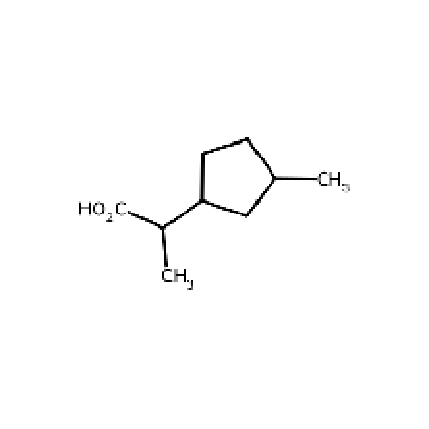 CC1CCC(C(C)C(=O)O)C1